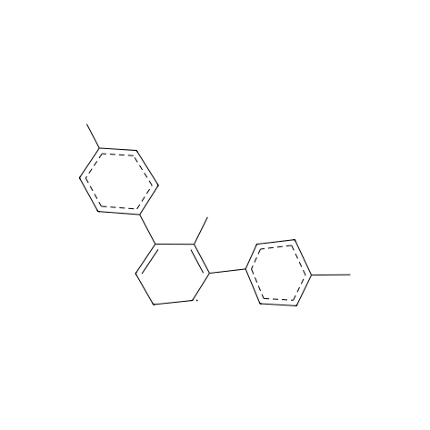 CC1=C(c2ccc(C)cc2)[CH]CC=C1c1ccc(C)cc1